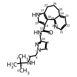 CC(C)(C)NCCn1ccc(NC(=O)c2c[nH]c3c2-c2ncccc2CCC3)n1